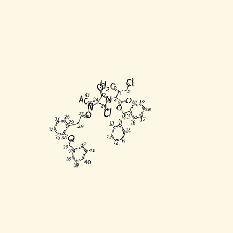 C=C(CCl)C(C(=O)OC(c1ccccc1)c1ccccc1)N1C(=O)C(N(OCCc2ccccc2OCc2ccccc2)C(C)=O)C1Cl